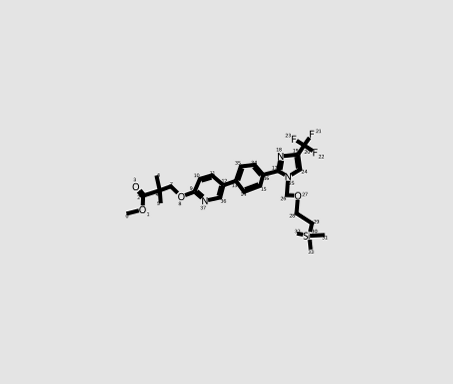 COC(=O)C(C)(C)COc1ccc(-c2ccc(-c3nc(C(F)(F)F)cn3COCC[Si](C)(C)C)cc2)cn1